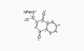 CCCCC[S+]([O-])C1=CC(=O)c2ccccc2C1=O